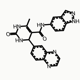 CC1=C(C(=O)Nc2ccc3[nH]ncc3c2)C(c2ccc3nccnc3c2)NC(=O)N1